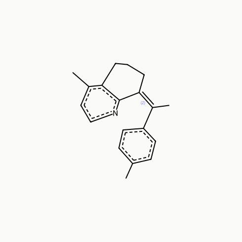 C/C(=C1\CCCc2c(C)ccnc21)c1ccc(C)cc1